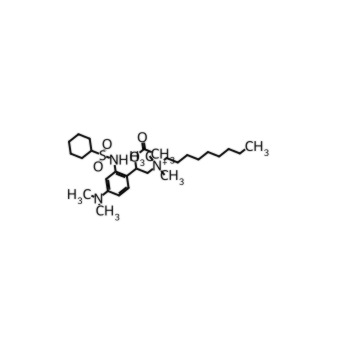 CCCCCCCCC[N+](C)(C)CC(OC(C)=O)c1ccc(N(C)C)cc1NS(=O)(=O)C1CCCCC1